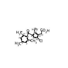 Cc1cc(C)c(C(=O)c2cc(Cl)c(CC(=O)O)n2C(C)C)c(C)c1